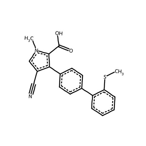 CSc1ccccc1-c1ccc(-c2c(C#N)cn(C)c2C(=O)O)cc1